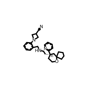 N#CC1CN(c2ccccc2CNCC[C@@]2(c3ccccn3)CCOC3(CCCC3)C2)C1